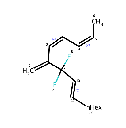 C=C(/C=C\C=C/C)C(F)(F)/C=C/CCCCCC